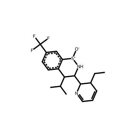 CCC1C=CC=NC1C1N[S+]([O-])c2cc(C(F)(F)F)ccc2C1C(C)C